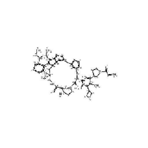 C=CC(=O)N1CC[C@H](C(=O)N(C)C(C(=O)N[C@H]2Cc3cccc(c3)-c3ccc4c(c3)c(c(-c3cccnc3[C@H](C)OC)n4CC)CC(C)(C)COC(=O)[C@@H]3CCCN(N3)C2=O)C2COC2)C1